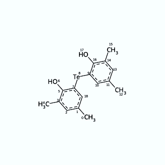 Cc1cc(C)c(O)c([Te]c2cc(C)cc(C)c2O)c1